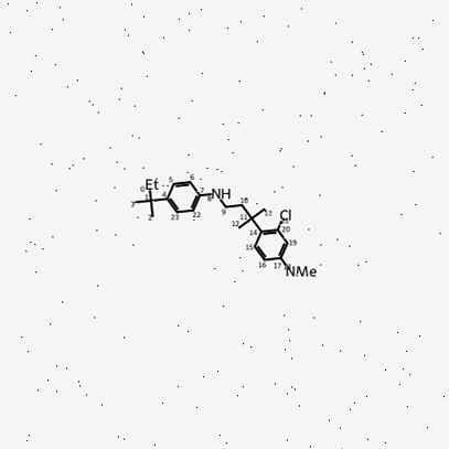 CCC(C)(C)c1ccc(NCCC(C)(C)c2ccc(NC)cc2Cl)cc1